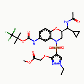 CCn1cc(S(=O)(=O)N2C[C@H](C(NC(C)=O)C3CC3)Oc3ccc(NC(=O)OC(C)(C)C(F)(F)F)cc32)c(OCC(=O)OC)n1